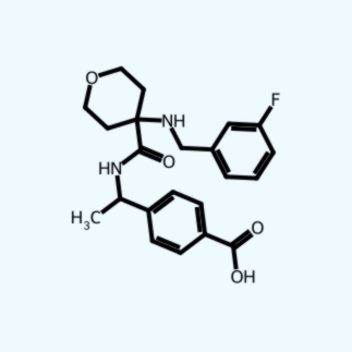 CC(NC(=O)C1(NCc2cccc(F)c2)CCOCC1)c1ccc(C(=O)O)cc1